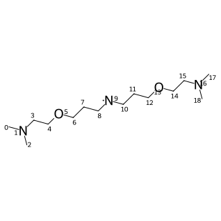 CN(C)CCOCCC[N]CCCOCCN(C)C